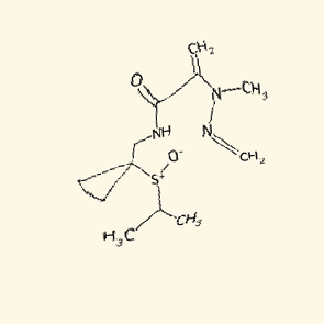 C=NN(C)C(=C)C(=O)NCC1([S+]([O-])C(C)C)CC1